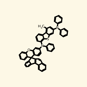 Cc1cc(N(c2ccccc2)c2ccccc2)cc2sc3c(N(c4c#cc5c(c4)Oc4ccccc4C54c5ccccc5-c5c4ccc4ccccc54)c4ccccc4)cccc3c12